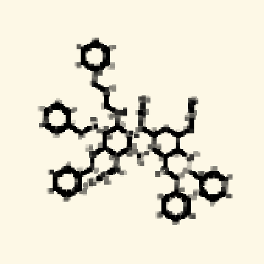 [N-]=[N+]=NC1CC(N=[N+]=[N-])[C@@H](O[C@H]2OC(NCOCc3ccccc3)[C@@H](OCc3ccccc3)C(OCc3ccccc3)C2N=[N+]=[N-])C(OCc2ccccc2)C1OCc1ccccc1